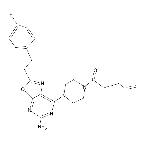 C=CCCC(=O)N1CCN(c2nc(N)nc3oc(CCc4ccc(F)cc4)nc23)CC1